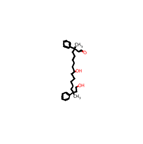 CC(CC=O)(CCCCCC(O)CCCCCC(C)(CCO)c1ccccc1)c1ccccc1